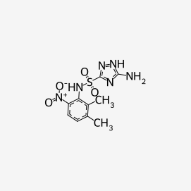 Cc1ccc([N+](=O)[O-])c(NS(=O)(=O)c2n[nH]c(N)n2)c1C